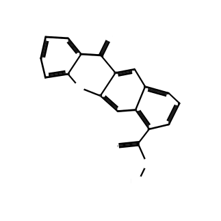 COC(=O)c1cccc2cc3c(=O)c4ccccc4oc3cc12